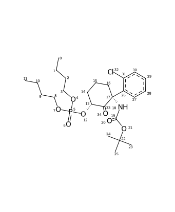 CCCCOP(=O)(OCCCC)O[C@@H]1CCC[C@@](NC(=O)OC(C)(C)C)(c2ccccc2Cl)C1=O